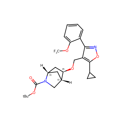 CC(C)(C)OC(=O)N1C[C@@H]2C[C@H]1C[C@H]2OCc1c(-c2ccccc2OC(F)(F)F)noc1C1CC1